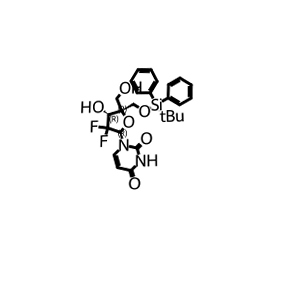 CC(C)(C)[Si](OC[C@@]1(CO)O[C@@H](n2ccc(=O)[nH]c2=O)C(F)(F)[C@@H]1O)(c1ccccc1)c1ccccc1